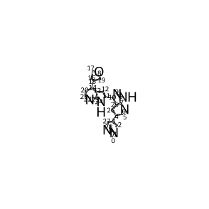 Cn1cc(-c2cnc3[nH]nc(-c4cc5c(-c6ccoc6)ccnc5[nH]4)c3c2)cn1